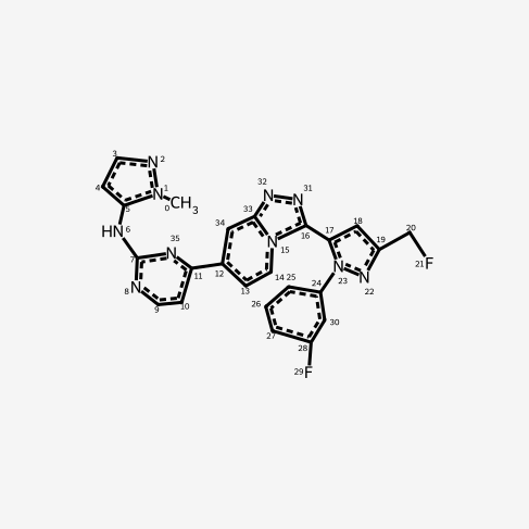 Cn1nccc1Nc1nccc(-c2ccn3c(-c4cc(CF)nn4-c4cccc(F)c4)nnc3c2)n1